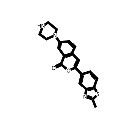 Cc1nc2cc(-c3cc4ccc(N5CCNCC5)cc4c(=O)o3)ccc2s1